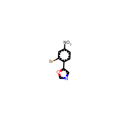 O=[N+]([O-])c1ccc(-c2cnco2)c(Br)c1